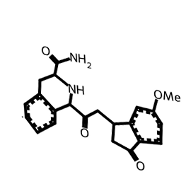 COc1ccc2c(c1)C(CC(=O)C1NC(C(N)=O)Cc3c[c]ccc31)CC2=O